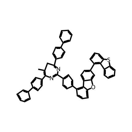 CC1=C(c2ccc(-c3ccccc3)cc2)N=C(c2ccc(-c3cccc4oc5cc(-c6cccc7sc8ccccc8c67)ccc5c34)cc2)N=C(c2ccc(-c3ccccc3)cc2)C1